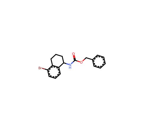 O=C(NC1CCCc2c(Br)cccc21)OCc1ccccc1